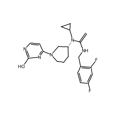 C=C(NCc1ccc(F)cc1F)N(C1CC1)[C@@H]1CCCN(c2ccnc(O)n2)C1